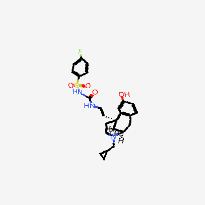 C[C@H]1[C@H]2Cc3ccc(O)cc3[C@]1(CCNC(=O)NS(=O)(=O)c1ccc(F)cc1)CCN2CC1CC1